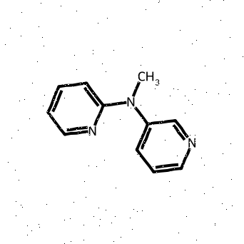 CN(c1cccnc1)c1ccccn1